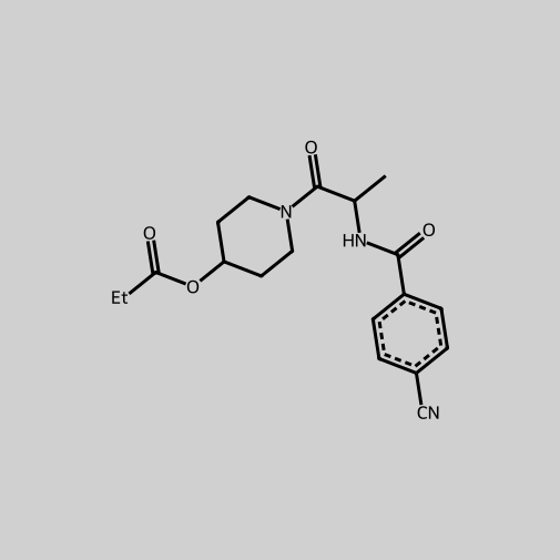 CCC(=O)OC1CCN(C(=O)C(C)NC(=O)c2ccc(C#N)cc2)CC1